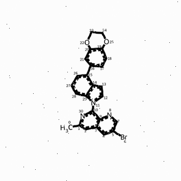 Cc1cc2cc(Br)cnc2c(-n2ccc3c(-c4ccc5c(c4)OCCO5)cccc32)n1